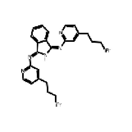 CC(C)CCCc1ccnc(/N=C2\N/C(=N/c3cc(CCCC(C)C)ccn3)c3ccccc32)c1